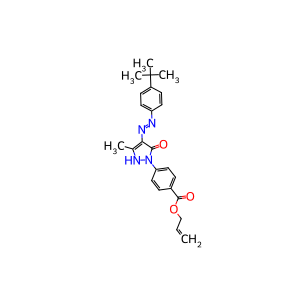 C=CCOC(=O)c1ccc(-n2[nH]c(C)c(/N=N/c3ccc(C(C)(C)C)cc3)c2=O)cc1